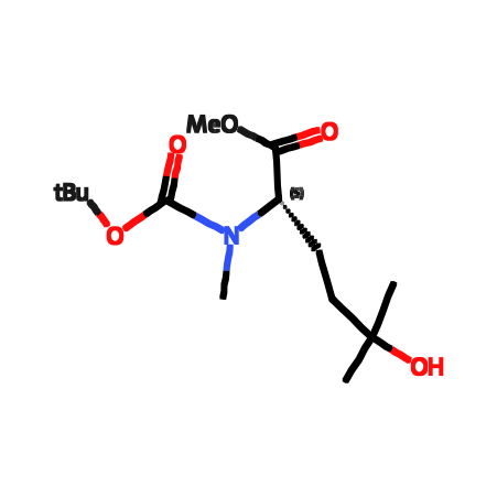 COC(=O)[C@H](CCC(C)(C)O)N(C)C(=O)OC(C)(C)C